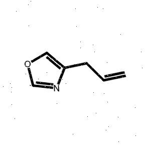 C=CCc1co[c]n1